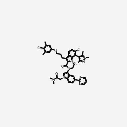 Cc1cc(OCCCc2c3n(c4c(-c5c(C)nn(C)c5C)c(Cl)ccc24)[C@H](C)CN(c2cn(CC(=O)N(C)C)c4ccc(-c5ncccn5)cc24)C3=O)cc(C)c1Cl